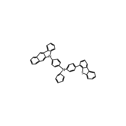 c1ccc(N(c2ccc(-c3cccc4c3sc3ccccc34)cc2)c2ccc(-n3c4ccccc4c4cc5ccccc5cc43)cc2)cc1